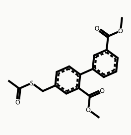 COC(=O)c1cccc(-c2ccc(CSC(C)=O)cc2C(=O)OC)c1